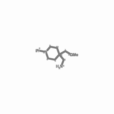 COCC1(CN)CCN(C(C)C)CC1